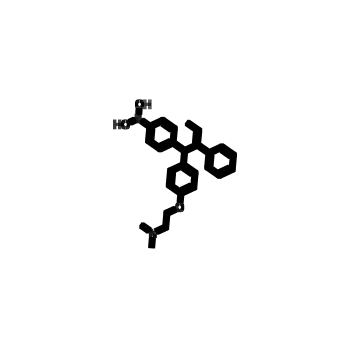 CC=C(c1ccccc1)C(c1ccc(OCCN(C)C)cc1)c1ccc(B(O)O)cc1